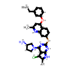 CCc1[nH]c2nc(Sc3ccc4c(Oc5cccc(CNC)c5)cc(C)nc4c3)nc(N3CC[C@@H](N)C3)c2c1Cl